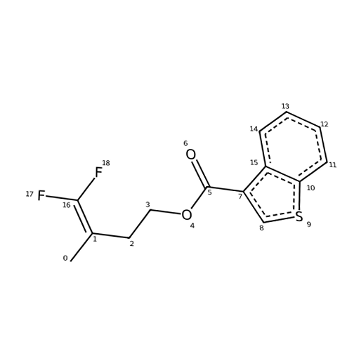 CC(CCOC(=O)c1csc2ccccc12)=C(F)F